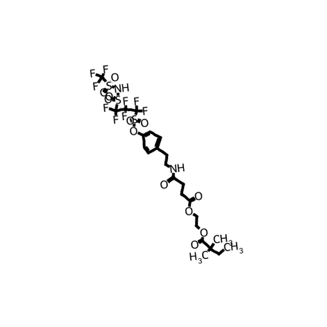 CCC(C)(C)C(=O)OCCOC(=O)CCC(=O)NCCc1ccc(OS(=O)(=O)C(F)(F)C(F)(F)C(F)(F)S(=O)(=O)NS(=O)(=O)C(F)(F)F)cc1